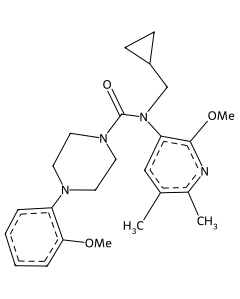 COc1ccccc1N1CCN(C(=O)N(CC2CC2)c2cc(C)c(C)nc2OC)CC1